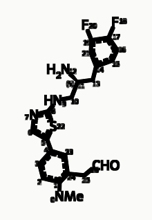 CNc1ccc(-c2cnc(NC[C@@H](N)Cc3ccc(F)c(F)c3)s2)cc1CC=O